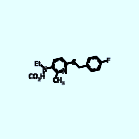 CCN(C(=O)O)c1ccc(SCc2ccc(F)cc2)nc1C